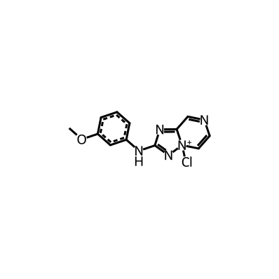 COc1cccc(NC2=N[N+]3(Cl)C=CN=CC3=N2)c1